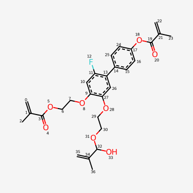 C=C(C)C(=O)OCCOc1cc(F)c(-c2ccc(OC(=O)C(=C)C)cc2)cc1OCCOC(O)C(=C)C